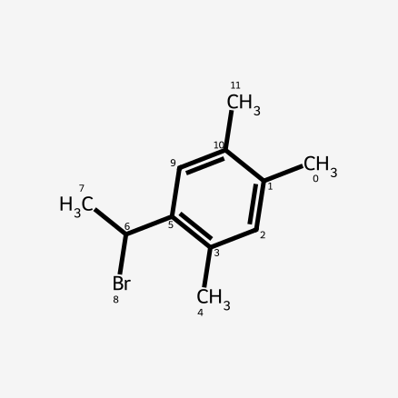 Cc1cc(C)c(C(C)Br)cc1C